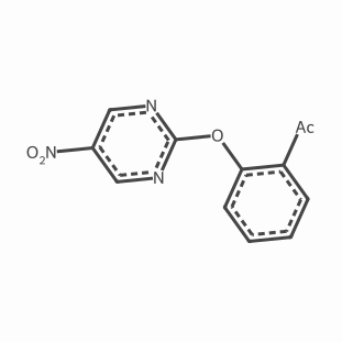 CC(=O)c1ccccc1Oc1ncc([N+](=O)[O-])cn1